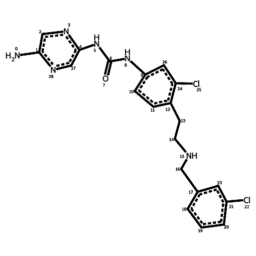 Nc1cnc(NC(=O)Nc2ccc(CCNCc3cccc(Cl)c3)c(Cl)c2)cn1